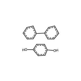 Oc1ccc(O)cc1.c1ccc(-c2ccccc2)cc1